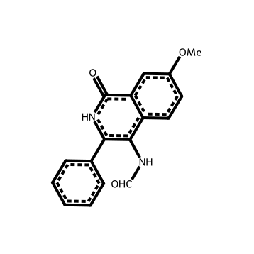 COc1ccc2c(NC=O)c(-c3ccccc3)[nH]c(=O)c2c1